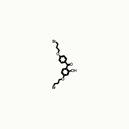 O=C(c1ccc(OCCCBr)cc1)c1ccc(OCCCBr)cc1O